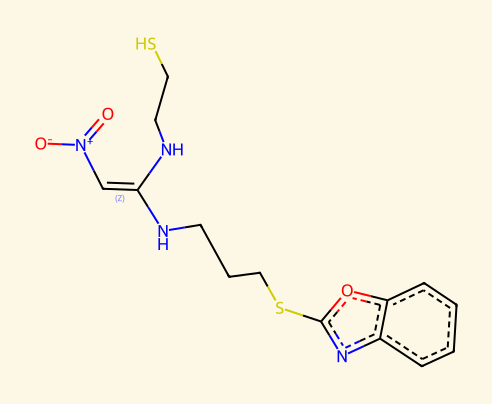 O=[N+]([O-])/C=C(\NCCS)NCCCSc1nc2ccccc2o1